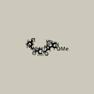 COc1cc(-c2cc(C(=O)N3CCC(C(=O)NCc4cc(Cl)ccn4)CC3)n[nH]2)c(Cl)cn1